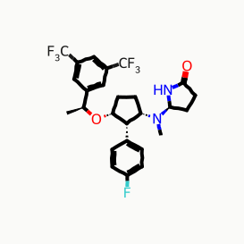 C[C@H](O[C@@H]1CC[C@H](N(C)[C@@H]2CCC(=O)N2)[C@@H]1c1ccc(F)cc1)c1cc(C(F)(F)F)cc(C(F)(F)F)c1